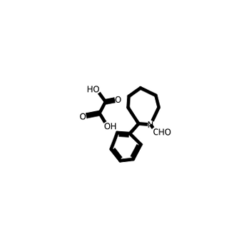 O=C(O)C(=O)O.O=CN1CCCCCC1c1ccccc1